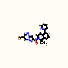 CC1c2cccc(-c3ccccn3)c2CCN1C(=O)c1cc2ncc(Br)cn2n1